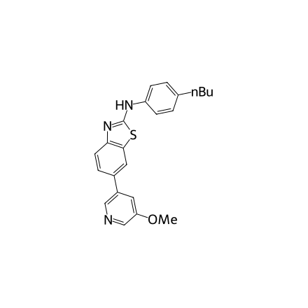 CCCCc1ccc(Nc2nc3ccc(-c4cncc(OC)c4)cc3s2)cc1